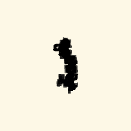 O=C(Cn1nc(C(F)F)cc1C(F)F)N1CCC(c2nc(C3=NO[C@H](c4[c]cccc4Cl)C3)cs2)CC1